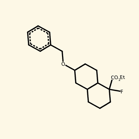 CCOC(=O)C1(F)CCCC2CC(OCc3ccccc3)CCC21